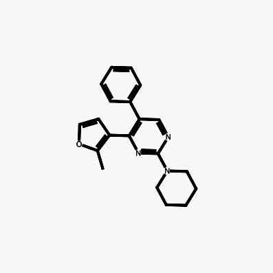 Cc1occc1-c1nc(N2CCCCC2)ncc1-c1ccccc1